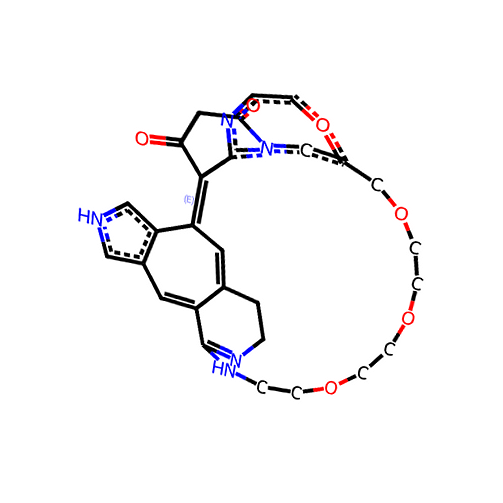 O=C1CC(=O)n2cc3occnc2/C1=C1/C=C2CCN=C(NCCOCCOCCOC3)C2=Cc2c[nH]cc21